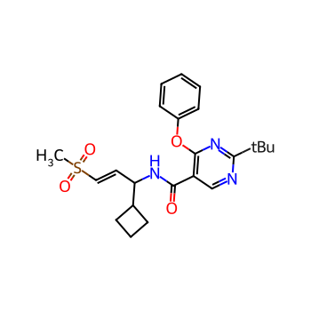 CC(C)(C)c1ncc(C(=O)NC(C=CS(C)(=O)=O)C2CCC2)c(Oc2ccccc2)n1